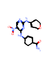 NC(=O)C1CCC(Nc2nc(NC3CCOCC3)ncc2[N+](=O)[O-])CC1